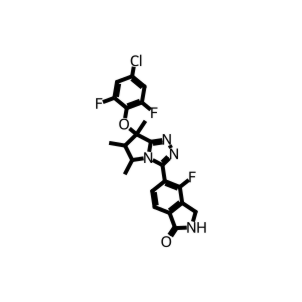 CC1C(C)C(C)(Oc2c(F)cc(Cl)cc2F)c2nnc(-c3ccc4c(c3F)CNC4=O)n21